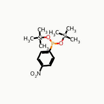 C[Si](C)(C)OP(O[Si](C)(C)C)c1ccc([N+](=O)[O-])cc1